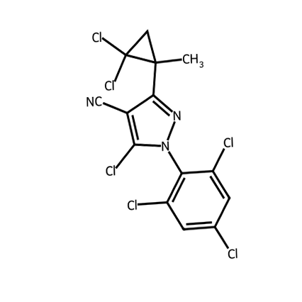 CC1(c2nn(-c3c(Cl)cc(Cl)cc3Cl)c(Cl)c2C#N)CC1(Cl)Cl